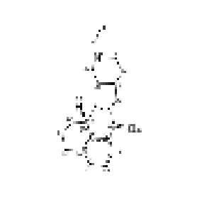 CCN1CCC(CN2C[C@H]3CCCc4cccc(c43)C2=O)CC1